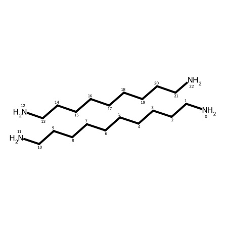 NCCCCCCCCCCN.NCCCCCCCCCN